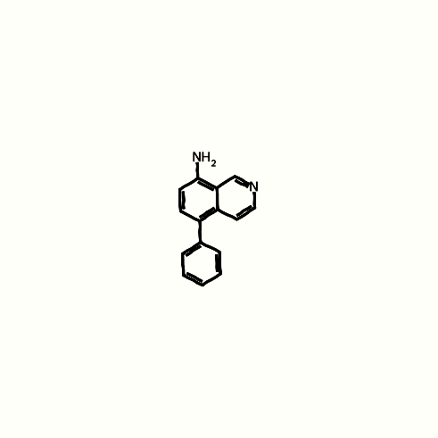 Nc1ccc(-c2ccccc2)c2ccncc12